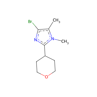 Cc1c(Br)nc(C2CCOCC2)n1C